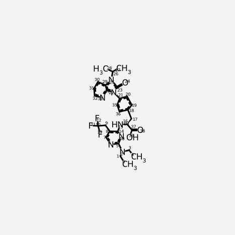 CCN(CC)c1ncc(CC(F)(F)F)c(N[C@@H](Cc2ccc(-n3c(=O)n(C(C)C)c4cccnc43)cc2)C(=O)O)n1